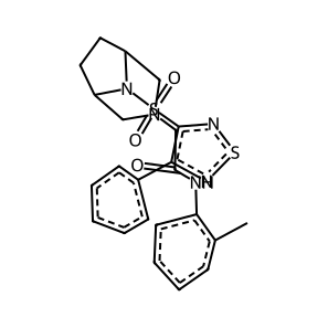 Cc1ccccc1NC(=O)CN1CC2CCC(C1)N2S(=O)(=O)c1nsnc1-c1ccccc1